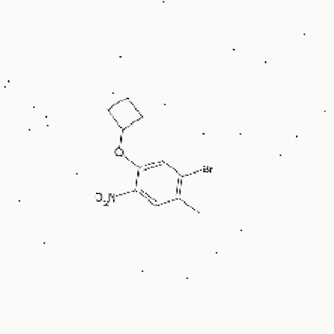 Cc1cc([N+](=O)[O-])c(OC2CCC2)cc1Br